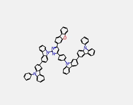 c1ccc(-n2c3ccccc3c3cc(-c4ccc5c(c4)c4ccccc4n5-c4nc(-c5ccc(-n6c7ccccc7c7ccc(-c8ccc9c(c8)c8ccccc8n9-c8ccccc8)cc76)cc5)cc(-c5ccc6c(c5)oc5ccccc56)n4)ccc32)cc1